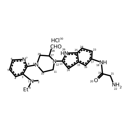 CCN(C)c1cccnc1N1CCN(c2cc3cc(NC(=O)CN)ccc3[nH]2)C(C=O)C1.Cl